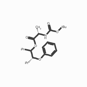 CC(C)C(OC(=O)[C@H](C)NC(=O)OC(C)(C)C)[C@H](Oc1ccccc1)C(C)C